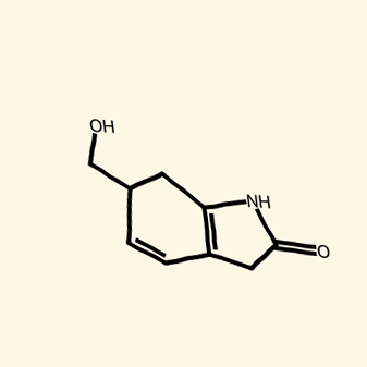 O=C1CC2=C(CC(CO)C=C2)N1